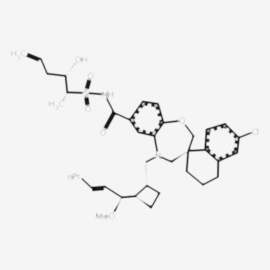 C=CC[C@H](O)[C@@H](C)S(=O)(=O)NC(=O)c1ccc2c(c1)N(C[C@@H]1CC[C@H]1[C@H](/C=C/CCC)OC)C[C@@]1(CCCc3cc(Cl)ccc31)CO2